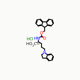 Cl.O=C(N[C@@H](CCCN1CCc2ccccc21)C(=O)O)OCC1c2ccccc2-c2ccccc21